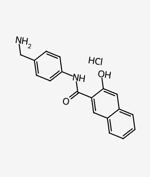 Cl.NCc1ccc(NC(=O)c2cc3ccccc3cc2O)cc1